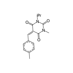 Cc1ccc(/C=C2\C(=O)N(C)C(=O)N(C(C)C)C2=O)cc1